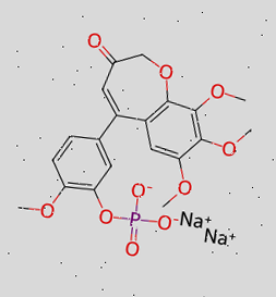 COc1ccc(C2=CC(=O)COc3c2cc(OC)c(OC)c3OC)cc1OP(=O)([O-])[O-].[Na+].[Na+]